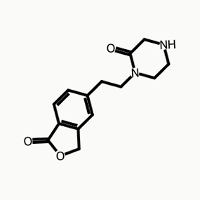 O=C1OCc2cc(CCN3CCNCC3=O)ccc21